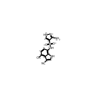 N#Cc1c[nH]c2c(NS(=O)(=O)c3c[nH]nc3N)ccc(Cl)c12